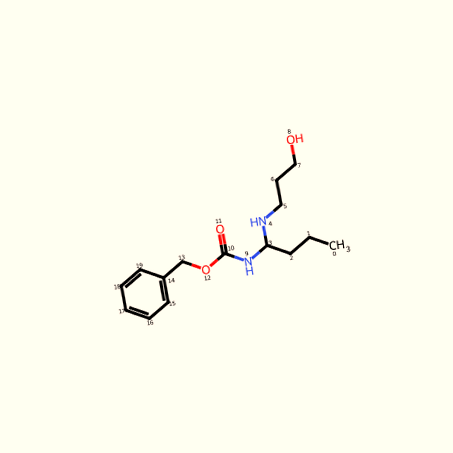 CCCC(NCCCO)NC(=O)OCc1ccccc1